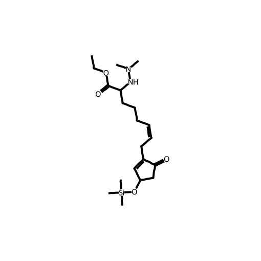 CCOC(=O)C(CCC/C=C\CC1=CC(O[Si](C)(C)C)CC1=O)NN(C)C